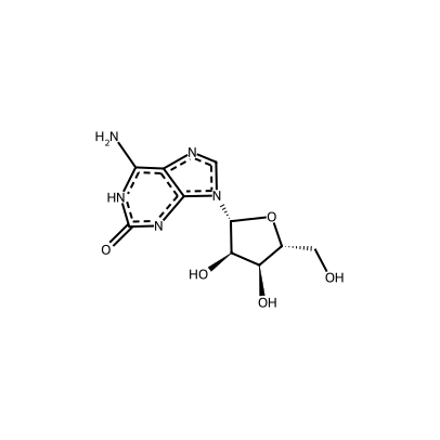 Nc1[nH]c(=O)nc2c1ncn2[C@@H]1O[C@H](CO)[C@@H](O)[C@H]1O